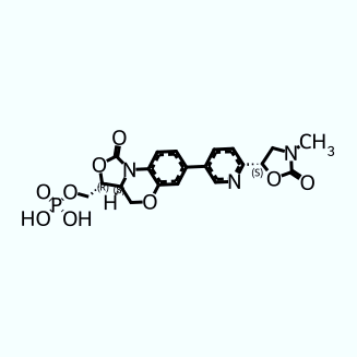 CN1C[C@@H](c2ccc(-c3ccc4c(c3)OC[C@H]3[C@H](COP(=O)(O)O)OC(=O)N43)cn2)OC1=O